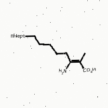 CCCCCCCCCCCCC(N)=C(C)C(=O)O